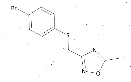 Cc1nc(CSc2ccc(Br)cc2)no1